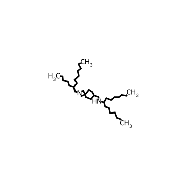 CCCCCCCC(CCCCC)CN1CC2(CCC(CNC(CCCCCCC)CCCCCCC)CC2)C1